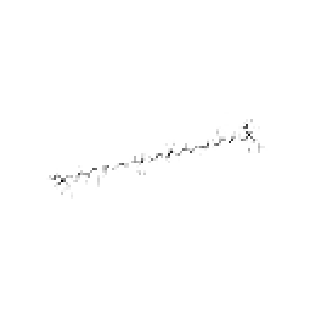 CCC1(COCC(O)COCCCCCC(=O)OCCOC(=O)CCCCCOCC(O)COCC2(CC)COC2)COC1